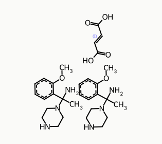 COc1ccccc1C(C)(N)N1CCNCC1.COc1ccccc1C(C)(N)N1CCNCC1.O=C(O)/C=C/C(=O)O